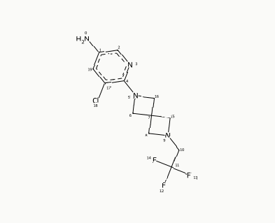 Nc1cnc(N2CC3(CN(CC(F)(F)F)C3)C2)c(Cl)c1